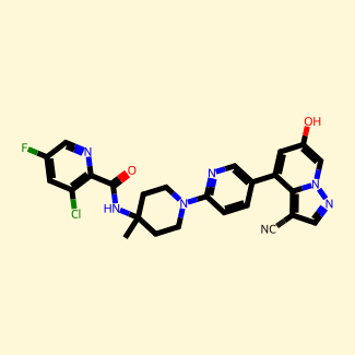 CC1(NC(=O)c2ncc(F)cc2Cl)CCN(c2ccc(-c3cc(O)cn4ncc(C#N)c34)cn2)CC1